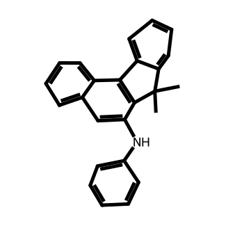 CC1(C)c2ccccc2-c2c1c(Nc1ccccc1)cc1ccccc21